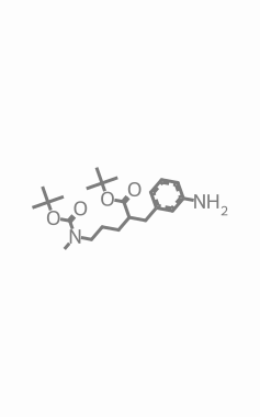 CN(CCCC(Cc1cccc(N)c1)C(=O)OC(C)(C)C)C(=O)OC(C)(C)C